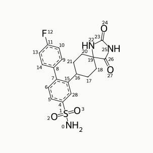 NS(=O)(=O)c1ccc(-c2ccc(F)cc2)c(C2CCC3(CC2)NC(=O)NC3=O)c1